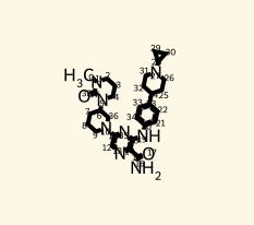 CN1CCCN(C2CCCN(c3cnc(C(N)=O)c(Nc4ccc(C5CCN(C6CC6)CC5)cc4)n3)C2)C1=O